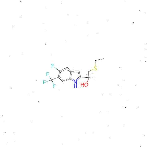 CCSCC(C)(O)c1cc2cc(F)c(C(F)(F)F)cc2[nH]1